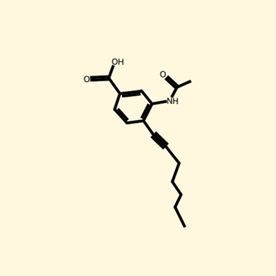 CCCCCC#Cc1ccc(C(=O)O)cc1NC(C)=O